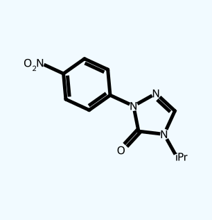 CC(C)n1cnn(-c2ccc([N+](=O)[O-])cc2)c1=O